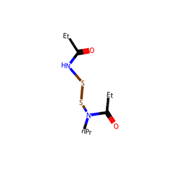 CCCN(SSNC(=O)CC)C(=O)CC